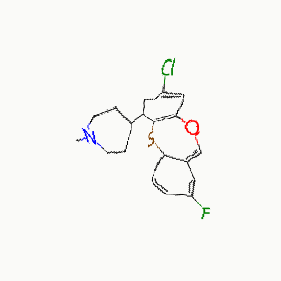 CN1CCC(C2CC(Cl)=CC3=C2SC2C=CC(F)=CC2=CO3)CC1